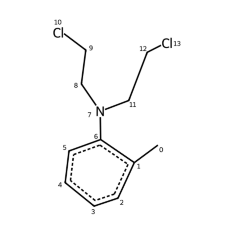 Cc1ccccc1N(CCCl)CCCl